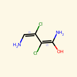 N/C=C(Cl)\C(Cl)=C(/N)O